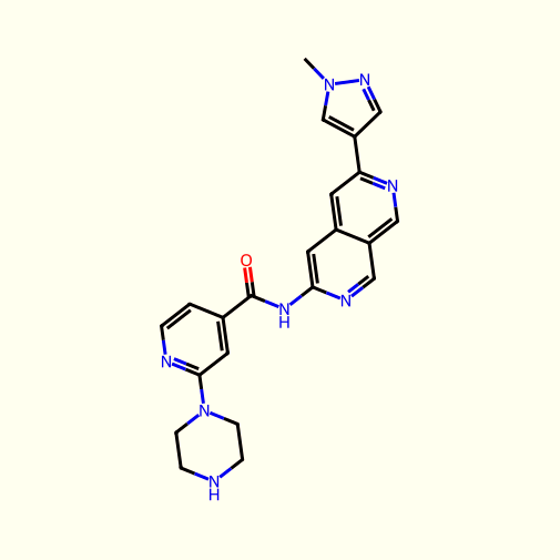 Cn1cc(-c2cc3cc(NC(=O)c4ccnc(N5CCNCC5)c4)ncc3cn2)cn1